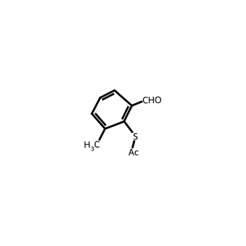 CC(=O)Sc1c(C)cccc1C=O